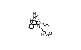 COCCc1nc2c(N)nc3ccccc3c2n1CCCCNC(C)=O